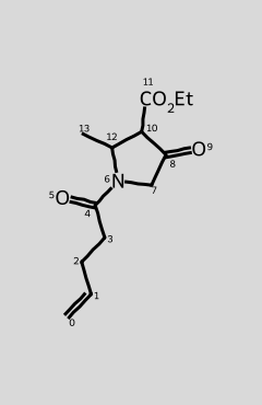 C=CCCC(=O)N1CC(=O)C(C(=O)OCC)C1C